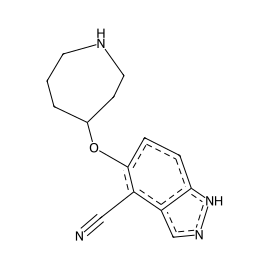 N#Cc1c(OC2CCCNCC2)ccc2[nH]ncc12